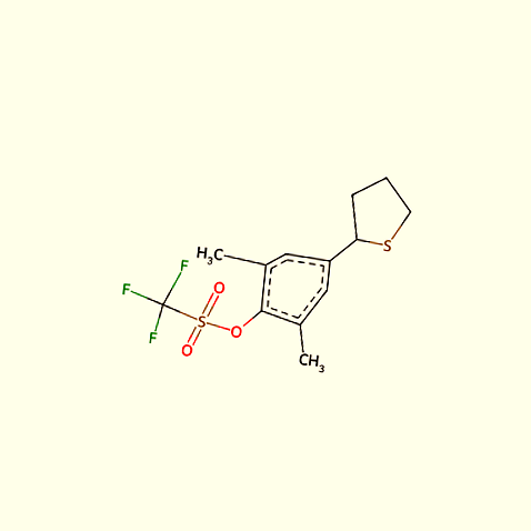 Cc1cc(C2CCCS2)cc(C)c1OS(=O)(=O)C(F)(F)F